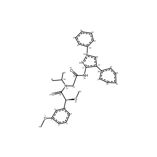 COc1cccc([C@H](OC)C(=O)N(CC(=O)Nc2nn(-c3ccccc3)cc2-c2ccccc2)C(C)C)c1